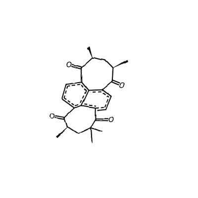 C[C@@H]1C[C@H](C)C(=O)c2ccc3c4c(ccc(c24)C1=O)C(=O)C(C)(C)C[C@@H](C)C3=O